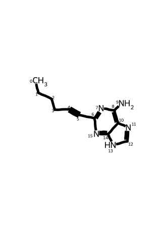 CCCCC#Cc1nc(N)c2nc[nH]c2n1